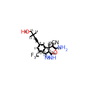 Cc1n[nH]c2c1C(c1cc(C#CC(C)(C)CO)cc(C(F)(F)F)c1)(C(C)C)C(C#N)=C(N)O2